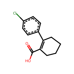 O=C(O)C1=C(c2ccc(Cl)cc2)CCCC1